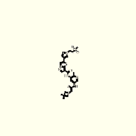 Cc1ncc(NC(=O)CN2CC(C)(C)C2)cc1NC(=O)c1cnn2cc(-c3cnn(CCS(C)(=O)=O)c3)sc12